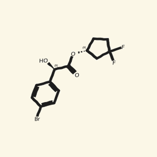 O=C(O[C@@H]1CCC(F)(F)C1)[C@H](O)c1ccc(Br)cc1